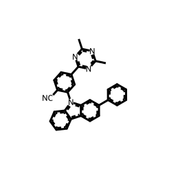 Cc1nc(C)nc(-c2ccc(C#N)c(-n3c4ccccc4c4ccc(-c5ccccc5)cc43)c2)n1